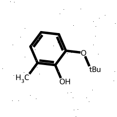 Cc1cccc(OC(C)(C)C)c1O